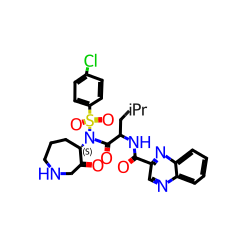 CC(C)CC(NC(=O)c1cnc2ccccc2n1)C(=O)N([C@H]1CCCNCC1=O)S(=O)(=O)c1ccc(Cl)cc1